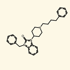 O=c1n(Cc2ccccc2)c2ccccc2n1C1CCN(CCCCc2ccccc2)CC1